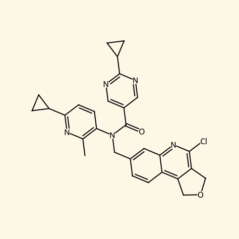 Cc1nc(C2CC2)ccc1N(Cc1ccc2c3c(c(Cl)nc2c1)COC3)C(=O)c1cnc(C2CC2)nc1